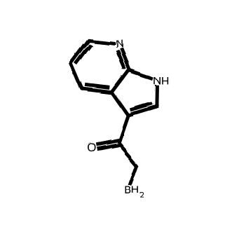 BCC(=O)c1c[nH]c2ncccc12